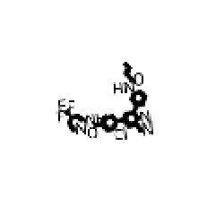 C/C=C/C(=O)Nc1cccc(-c2cc(-c3ccc(C(=O)Nc4cc(C(F)(F)F)ccn4)cc3Cl)cc3cncnc23)c1